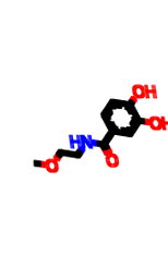 COCCNC(=O)c1ccc(O)c(O)c1